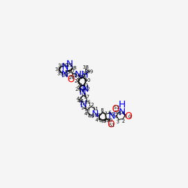 O=C1CCC(N2Cc3cc(N4CCC(CN5CCC(n6cc7cc(NC(=O)c8cnn9cccnc89)c(C8CC8)cc7n6)CC5)CC4)ccc3C2=O)C(=O)N1